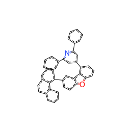 c1ccc(-c2cc(-c3cccc4oc5ccc(-c6cccc7ccc8ccccc8c67)cc5c34)cc(-c3ccccc3)n2)cc1